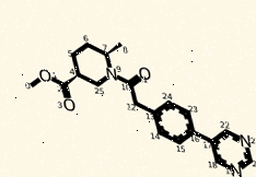 COC(=O)[C@H]1CC[C@@H](C)N(C(=O)Cc2ccc(-c3cncnc3)cc2)C1